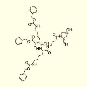 [2H]C[C@@H]1C[C@@H](O)CN1C(=O)CCCNC(=O)C(CCCCNC(=O)OCc1ccccc1)NC(=O)C(CCCCNC(=O)OCc1ccccc1)NC(=O)OCc1ccccc1